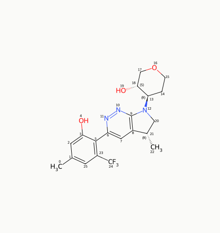 Cc1cc(O)c(-c2cc3c(nn2)N([C@@H]2CCOC[C@H]2O)C[C@@H]3C)c(C(F)(F)F)c1